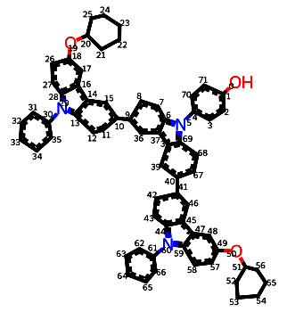 Oc1ccc(-n2c3ccc(-c4ccc5c(c4)c4cc(OC6CCCCC6)ccc4n5-c4ccccc4)cc3c3cc(-c4ccc5c(c4)c4cc(OC6CCCCC6)ccc4n5-c4ccccc4)ccc32)cc1